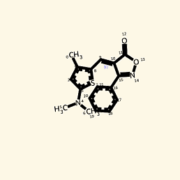 Cc1cc(N(C)C)sc1/C=C1/C(=O)ON=C1c1ccccc1